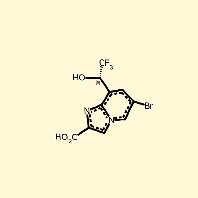 O=C(O)c1cn2cc(Br)cc([C@H](O)C(F)(F)F)c2n1